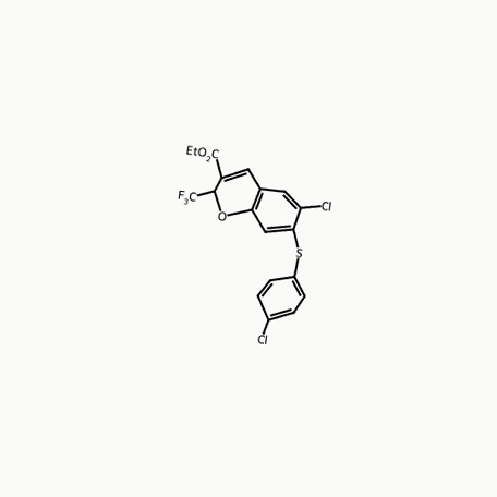 CCOC(=O)C1=Cc2cc(Cl)c(Sc3ccc(Cl)cc3)cc2OC1C(F)(F)F